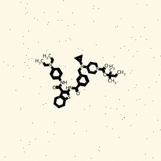 CCN(CC)c1ccc(NC(=O)c2c(NC(=O)c3cccc(CN(C4CC4)C4CCN(C(=O)OC(C)(C)CC)CC4)c3)sc3c2CCCC3)cc1